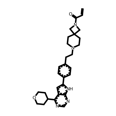 C=CC(=O)N1CC2(CCN(CCc3ccc(-c4cc5c(C6CCOCC6)ncnc5[nH]4)cc3)CC2)C1